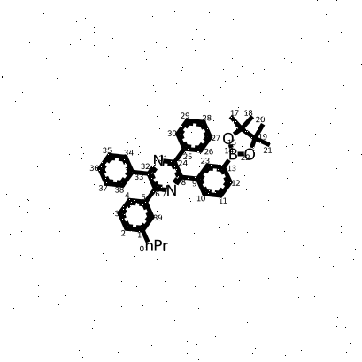 CCCc1cccc(-c2nc(-c3cccc(B4OC(C)(C)C(C)(C)O4)c3)c(-c3ccccc3)nc2-c2ccccc2)c1